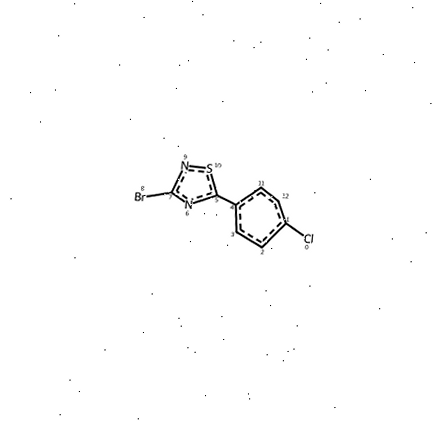 Clc1ccc(-c2nc(Br)ns2)cc1